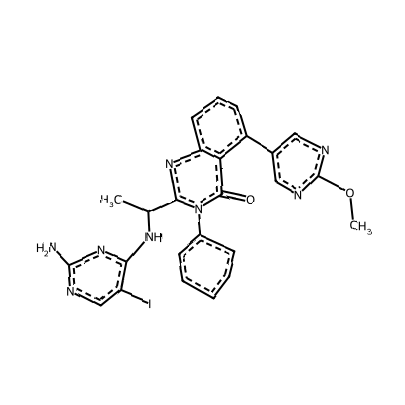 COc1ncc(-c2cccc3nc(C(C)Nc4nc(N)ncc4I)n(-c4ccccc4)c(=O)c23)cn1